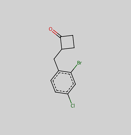 O=C1CCC1Cc1ccc(Cl)cc1Br